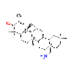 CC1(C)CC[C@]2(CN)CCC3C(CC4C#CC45[C@@]4(C)C=C(C#N)C(=O)C(C)(C)C4CC[C@@]35C)C2C1